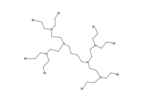 BrCCN(CCBr)CCN(CCCCN(CCN(CCBr)CCBr)CCN(CCBr)CCBr)CCN(CCBr)CCBr